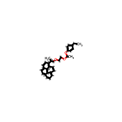 CCc1ccc(OC(C)OCCOCC(C)c2ccc3ccc4cccc5ccc2c3c45)cc1